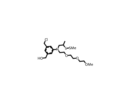 COCCOCCOCCN(CC(C)SSC)c1cc(CO)cc(CCl)c1